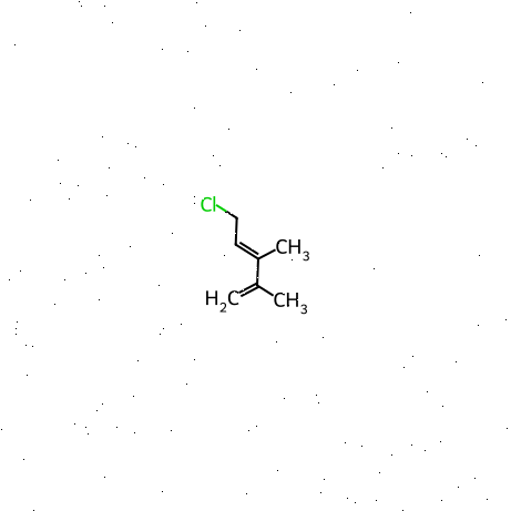 C=C(C)C(C)=CCCl